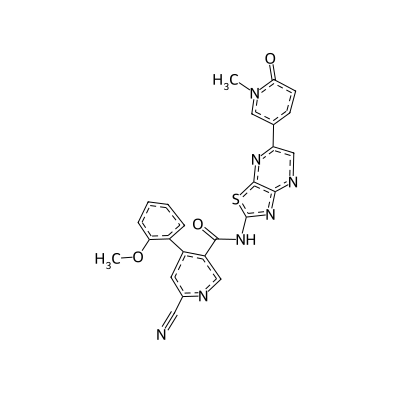 COc1ccccc1-c1cc(C#N)ncc1C(=O)Nc1nc2ncc(-c3ccc(=O)n(C)c3)nc2s1